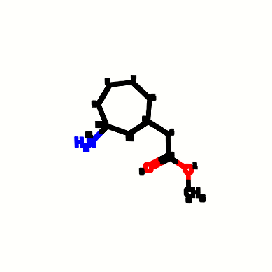 COC(=O)CC1CCCCC(N)C1